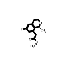 COC(=O)Cc1cc(F)cc2c1[C@@H](C)OCC2